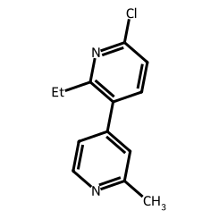 CCc1nc(Cl)ccc1-c1ccnc(C)c1